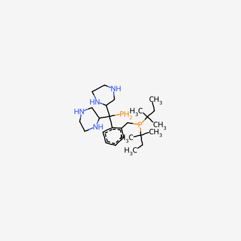 CCC(C)(C)P(Cc1ccccc1C(P)(C1CNCCN1)C1CNCCN1)C(C)(C)CC